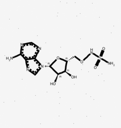 Nc1ncnc2c1ncn2[C@@H]1O[C@H](CONS(N)(=O)=O)[C@@H](O)[C@H]1O